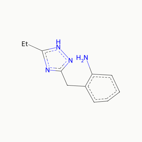 CCc1nc(Cc2ccccc2N)n[nH]1